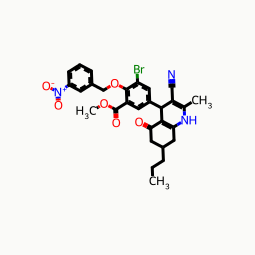 CCCC1CC(=O)C2=C(C1)NC(C)=C(C#N)C2c1cc(Br)c(OCc2cccc([N+](=O)[O-])c2)c(C(=O)OC)c1